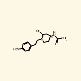 CC[C@H]1C[C@H](NC(N)=O)CCN1CCc1ccc(O)cc1